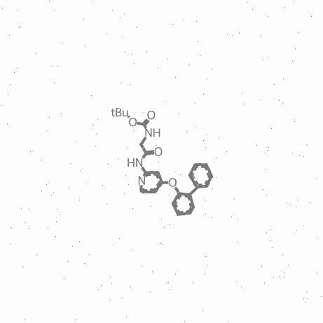 CC(C)(C)OC(=O)NCC(=O)Nc1cc(Oc2ccccc2-c2ccccc2)ccn1